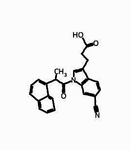 CC(C(=O)n1cc(CCC(=O)O)c2ccc(C#N)cc21)c1cccc2ccccc12